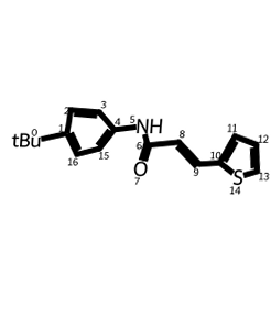 CC(C)(C)c1ccc(NC(=O)C=Cc2cccs2)cc1